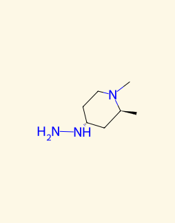 C[C@H]1C[C@H](NN)CCN1C